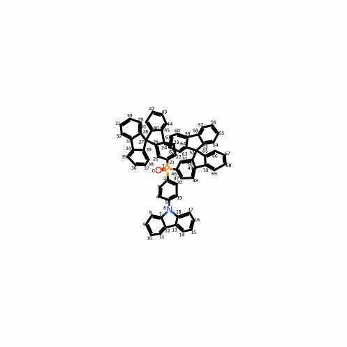 O=P(c1ccc(-n2c3ccccc3c3ccccc32)cc1)(c1ccc2c(c1)C1(c3ccccc3-c3ccccc31)c1ccccc1-2)c1ccc2c(c1)C1(c3ccccc3-c3ccccc31)c1ccccc1-2